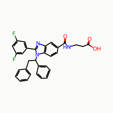 O=C(O)CCNC(=O)c1ccc2c(c1)nc(-c1cc(F)cc(F)c1)n2C(Cc1ccccc1)c1ccccc1